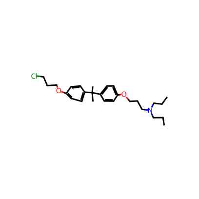 CCCN(CCC)CCCOc1ccc(C(C)(C)c2ccc(OCCCCl)cc2)cc1